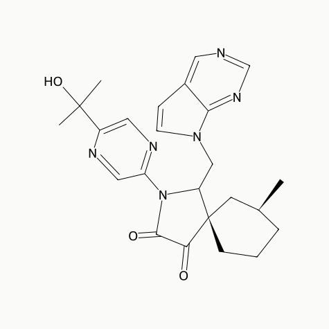 C[C@H]1CCC[C@@]2(C1)C(=O)C(=O)N(c1cnc(C(C)(C)O)cn1)C2Cn1ccc2cncnc21